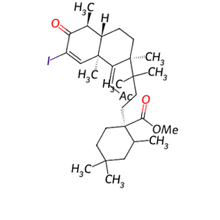 COC(=O)[C@]1(CCC(C)(C)[C@]2(C)CC[C@H]3[C@H](C)C(=O)C(I)=C[C@]3(C)/C2=C/C(C)=O)CCC(C)(C)CC1C